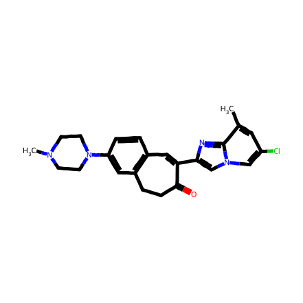 Cc1cc(Cl)cn2cc(C3=Cc4ccc(N5CCN(C)CC5)cc4CCC3=O)nc12